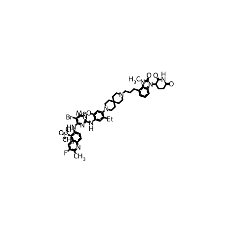 CCc1cc(Nc2ncc(Br)c(Nc3ccc4nc(C)c(F)cc4c3P(C)(C)=O)n2)c(OC)cc1N1CCC2(CCN(CCCc3cccc4c3n(C)c(=O)n4C3CCC(=O)NC3=O)CC2)CC1